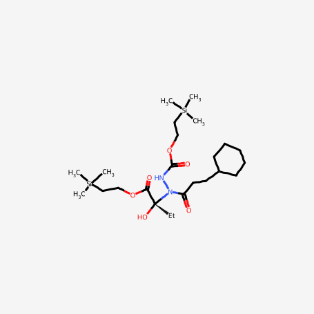 CC[C@@](O)(C(=O)OCC[Si](C)(C)C)N(NC(=O)OCC[Si](C)(C)C)C(=O)CCC1CCCCC1